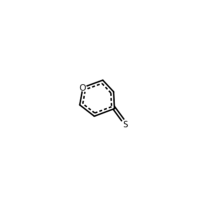 S=c1ccocc1